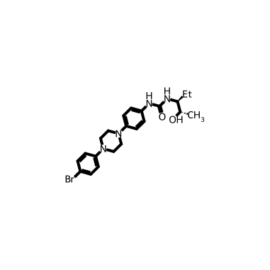 CC[C@H](NC(=O)Nc1ccc(N2CCN(c3ccc(Br)cc3)CC2)cc1)[C@H](C)O